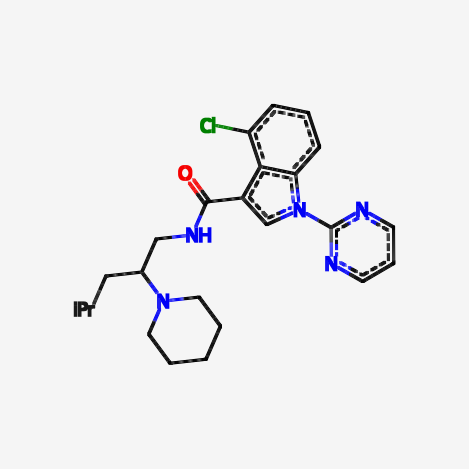 CC(C)CC(CNC(=O)c1cn(-c2ncccn2)c2cccc(Cl)c12)N1CCCCC1